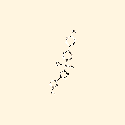 Cn1cc(-c2cc([C@@](C)(c3ccc(-c4cnc(N)nc4)cc3)C3CC3)no2)cn1